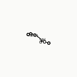 O=C(NCCCCN1CCN(c2ccc3ccccc3n2)CC1)C1CCC(c2ccccc2)CC1